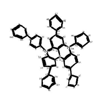 c1ccc(-c2ccc(N3c4ccc(-c5ccccc5)cc4B4c5cc(-c6ccccc6)ccc5N(c5ccccc5)c5cc(-c6ccccc6)cc3c54)cc2)cc1